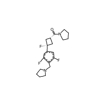 O=C([C@H]1C[C@](F)(c2cc(F)c(CN3CCCC3)c(F)c2)C1)N1CCCC1